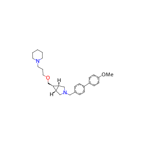 COc1ccc(-c2ccc(CN3C[C@@H]4[C@@H](COCCCN5CCCCC5)[C@@H]4C3)cc2)cc1